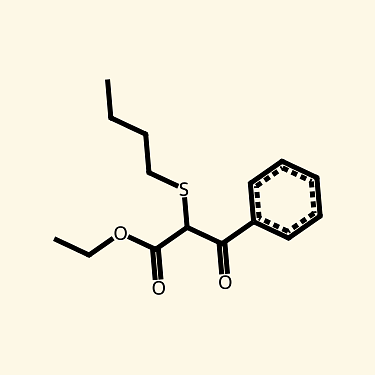 CCCCSC(C(=O)OCC)C(=O)c1ccccc1